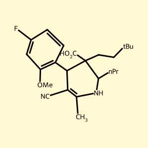 CCCC1NC(C)=C(C#N)C(c2ccc(F)cc2OC)C1(CCC(C)(C)C)C(=O)O